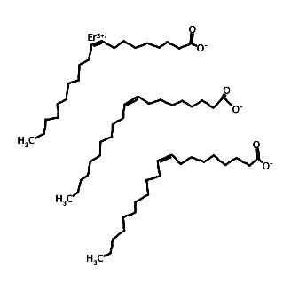 CCCCCCCCCC/C=C\CCCCCCCC(=O)[O-].CCCCCCCCCC/C=C\CCCCCCCC(=O)[O-].CCCCCCCCCC/C=C\CCCCCCCC(=O)[O-].[Er+3]